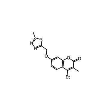 CCc1c(C)c(=O)oc2cc(OCc3nnc(C)s3)ccc12